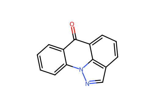 O=c1c2ccccc2n2ncc3cccc1c32